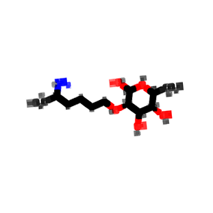 NC(CCCCO[C@H]1C(O)OC(C(=O)O)[C@@H](O)C1O)C(=O)O